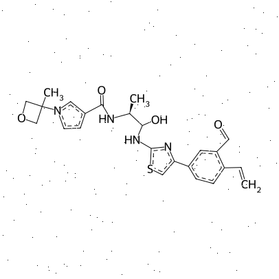 C=Cc1ccc(-c2csc(NC(O)[C@H](C)NC(=O)c3ccn(C4(C)COC4)c3)n2)cc1C=O